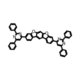 c1ccc(-c2cc(-c3ccc4c(c3)oc3cc5oc6cc(-c7cc(-c8ccccc8)nc(-c8ccccc8)n7)ccc6c5cc34)nc(-c3ccccc3)n2)cc1